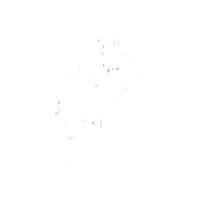 CCC/N=C1/S/C(=C/c2ccc(O/C=C\I)c(Cl)c2)C(=O)N1c1ccccc1C